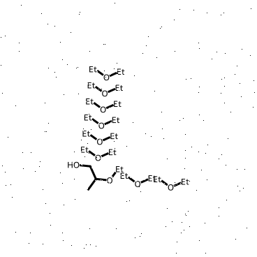 CCOC(C)CO.CCOCC.CCOCC.CCOCC.CCOCC.CCOCC.CCOCC.CCOCC.CCOCC